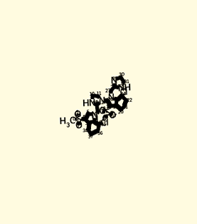 CS(=O)(=O)c1cn(CC2NCCN2c2c(S(C)(=O)=O)c3cccc(Cl)c3n2CC2=NCCN2)c2c(Cl)cccc12